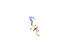 CSOC(C)(C)S(C)(C)CCCN